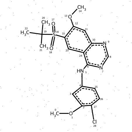 COc1cc(Nc2ncnc3cc(OC)c(S(=O)(=O)C(C)(C)C)cc23)ccc1Cl